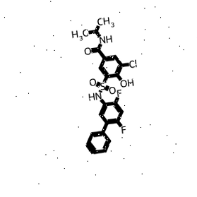 CC(C)NC(=O)c1cc(Cl)c(O)c(S(=O)(=O)Nc2cc(-c3cc#ccc3)c(F)cc2F)c1